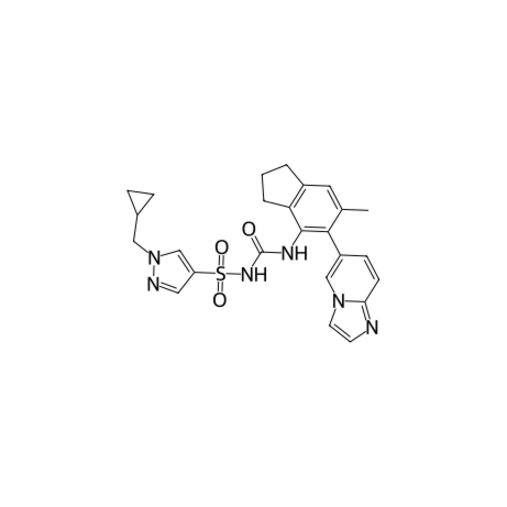 Cc1cc2c(c(NC(=O)NS(=O)(=O)c3cnn(CC4CC4)c3)c1-c1ccc3nccn3c1)CCC2